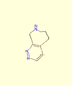 [c]1cnnc2c1CCNC2